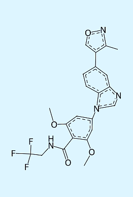 COc1cc(-n2cnc3cc(-c4conc4C)ccc32)cc(OC)c1C(=O)NCC(F)(F)F